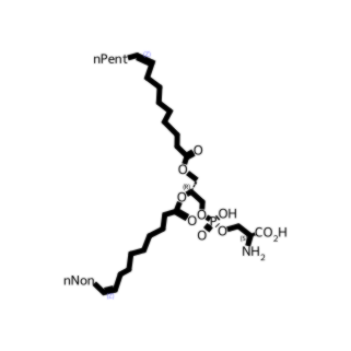 CCCCC/C=C\CCCCCCCC(=O)OC[C@H](COP(=O)(O)OC[C@H](N)C(=O)O)OC(=O)CCCCCCC/C=C\CCCCCCCCC